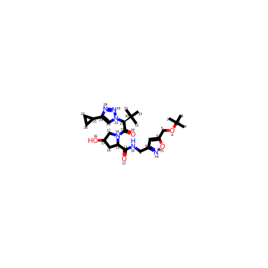 CC(C)(C)OCc1cc(CNC(=O)C2CC(O)CN2C(=O)[C@@H](n2cc(C3CC3)nn2)C(C)(C)C)no1